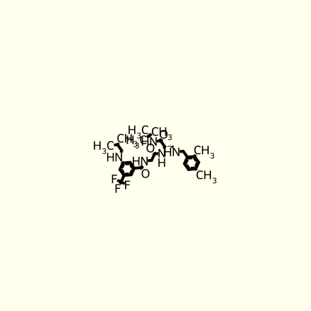 Cc1ccc(CNC[C@H](NC(=O)CNC(=O)c2cc(NCC(C)C)cc(C(F)(F)F)c2)C(=O)NC(C)(C)C)c(C)c1